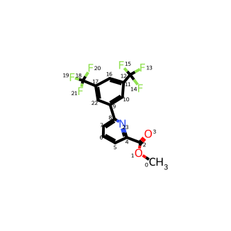 COC(=O)c1cccc(-c2cc(C(F)(F)F)cc(C(F)(F)F)c2)n1